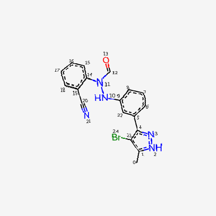 Cc1[nH]nc(-c2cccc(NN(C=O)c3ccccc3C#N)c2)c1Br